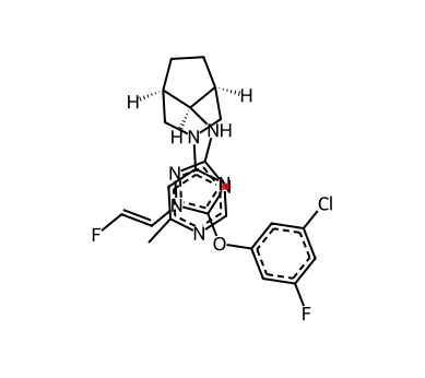 Cc1cc(N2C[C@H]3CC[C@@H](C2)[C@H]3Nc2nc(Oc3cc(F)cc(Cl)c3)n(/C=C/F)n2)ncn1